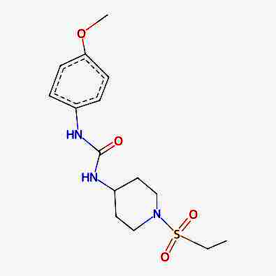 CCS(=O)(=O)N1CCC(NC(=O)Nc2ccc(OC)cc2)CC1